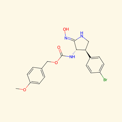 COc1ccc(COC(=O)N[C@@H]2/C(=N/O)NC[C@H]2c2ccc(Br)cc2)cc1